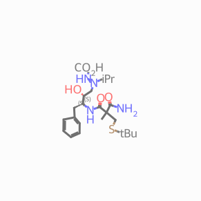 CC(C)N(C[C@H](O)[C@H](Cc1ccccc1)NC(=O)C(C)(CSC(C)(C)C)C(N)=O)NC(=O)O